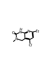 CCc1cc(Cl)c2c(n1)NC(=O)N(C)C2